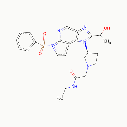 CC(O)c1nc2cnc3c(ccn3S(=O)(=O)c3ccccc3)c2n1[C@H]1CCN(CC(=O)NCC(F)(F)F)C1